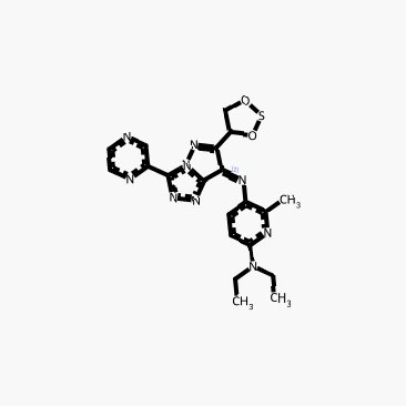 CCN(CC)c1ccc(/N=C2/C(C3COSO3)=Nn3c2nnc3-c2cnccn2)c(C)n1